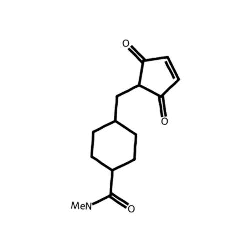 CNC(=O)C1CCC(CC2C(=O)C=CC2=O)CC1